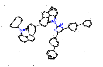 c1ccc(-c2ccc(-c3cc(-c4ccc(-c5ccccc5)cc4)nc(-n4c5cccc6ccc7cc(-c8cc9ccc%10cccc%11c%10c9c(c8)n%11-c8ccccc8)cc4c7c65)n3)cc2)cc1